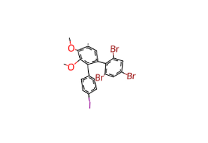 COc1[c]cc(-c2c(Br)cc(Br)cc2Br)c(-c2ccc(I)cc2)c1OC